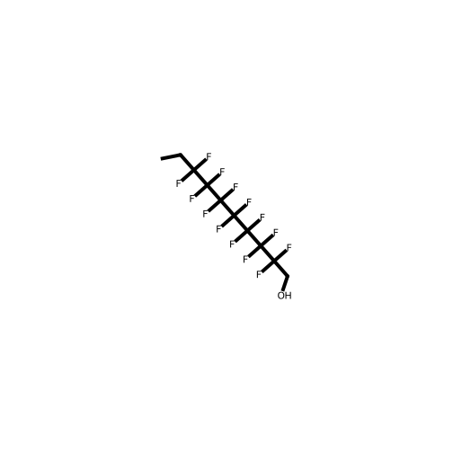 CCC(F)(F)C(F)(F)C(F)(F)C(F)(F)C(F)(F)C(F)(F)C(F)(F)CO